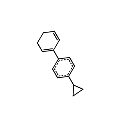 C1=CC(c2ccc(C3CC3)cc2)=CCC1